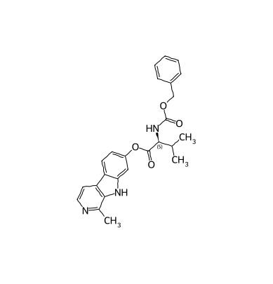 Cc1nccc2c1[nH]c1cc(OC(=O)[C@@H](NC(=O)OCc3ccccc3)C(C)C)ccc12